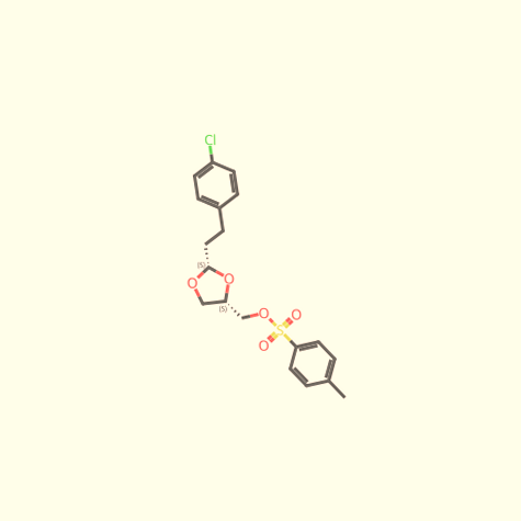 Cc1ccc(S(=O)(=O)OC[C@@H]2CO[C@H](CCc3ccc(Cl)cc3)O2)cc1